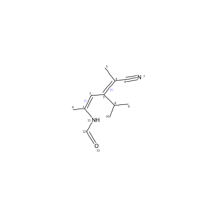 C/C(=C/C(=C(\C)C#N)C(C)C)NC=O